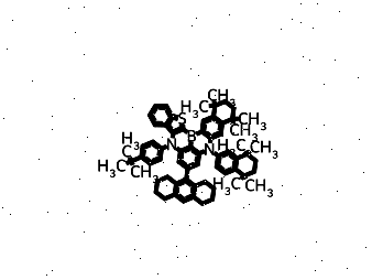 CC(C)(C)c1ccc(N2c3cc(-c4c5c(cc6c4CCCC6)CCCC5)cc4c3B(c3cc5c(cc3N4c3ccc4c(c3)C(C)(C)CCC4(C)C)C(C)(C)CCC5(C)C)c3sc4ccccc4c32)cc1